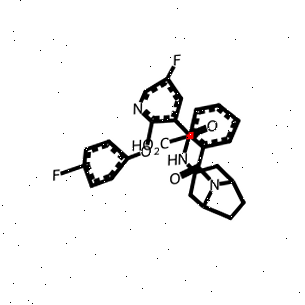 O=C(O)c1ccccc1C(=O)N1C2CCC1CC(NC(=O)c1cc(F)cnc1Oc1ccc(F)cc1)C2